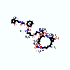 C=C1CCC(=O)C1CCNC(=O)COC1CCCC/C=C/C1OC(=O)N(C)CCC(C)C(=O)SCCC(=O)N(C)[C@@H](C)C(=O)O[C@H]1CC(=O)N(C)c2cc(cc(O)c2C)C/C(C)=C/C=C/C(OC)C2(O)C[C@](C)(OC(=O)N2)[C@@H](C)[C@@H]2O[C@@]12C